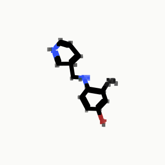 O=[N+]([O-])c1cc(Br)ccc1NCc1cccnc1